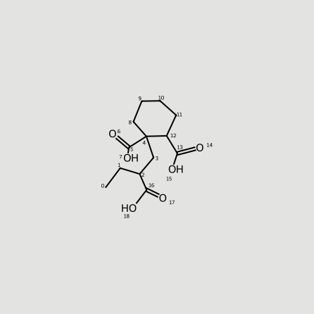 CCC(CC1(C(=O)O)CCCCC1C(=O)O)C(=O)O